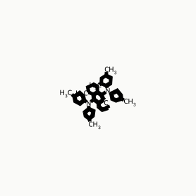 CC1=CC=C(N(c2ccc(C)cc2)c2c3c(c(N(c4ccc(C)cc4)c4ccc(C)cc4)c4ccccc24)C(C)CC=C3)C(C)C1